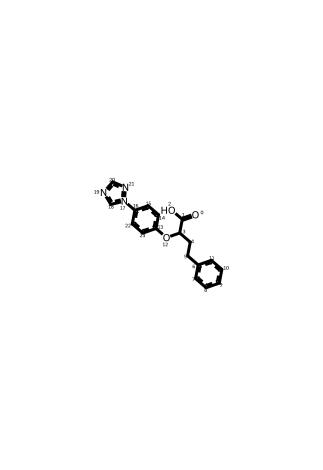 O=C(O)C(CCc1ccccc1)Oc1ccc(-n2cncn2)cc1